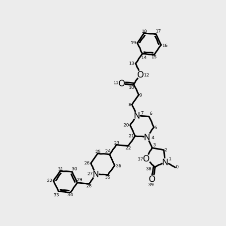 CN1CC(N2CCN(CCC(=O)OCc3ccccc3)CC2CCC2CCN(Cc3ccccc3)CC2)OC1=O